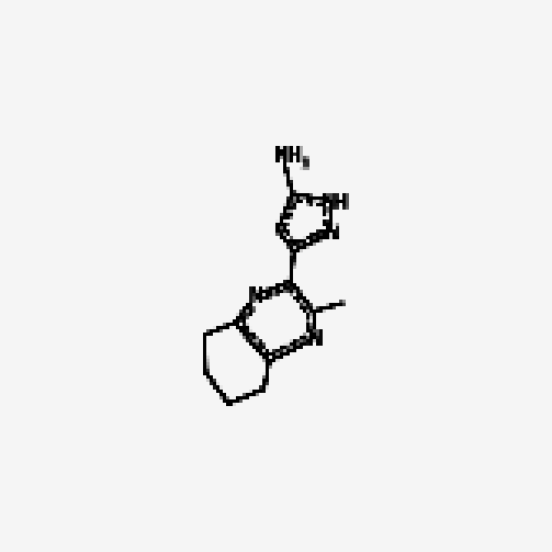 Cc1nc2c(nc1-c1cc(N)[nH]n1)CCCC2